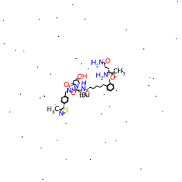 Cc1ncsc1-c1ccc(CNC(=O)[C@@H]2C[C@@H](O)CN2C(=O)[C@@H](NC(=O)CCCCCc2ccccc2CO[C@H](C)[C@@H](N)CCC(N)=O)C(C)(C)C)cc1